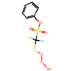 O=S(=O)(Oc1ccccc1)C(F)(F)SOOO